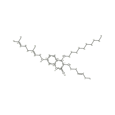 CCC=CCCOc1c(OCCCCCCCCCC)c2ccc(OC/C=C(\C)CCC=C(C)C)cc2oc1=O